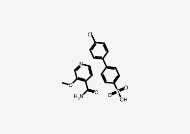 COc1cnccc1C(N)=O.O=S(=O)(O)c1ccc(-c2ccc(Cl)cc2)cc1